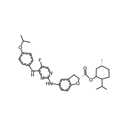 CC(C)Oc1ccc(Nc2nc(Nc3ccc4c(c3)C[C@H](C(=O)OC3C[C@H](C)CCC3C(C)C)O4)ncc2F)cc1